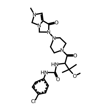 COC(C)(C)C(NC(=O)Nc1ccc(Cl)cc1)C(=O)N1CCN(N2CN3CN(C)C=C3C2=O)CC1